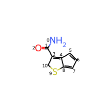 NC(=O)C1=C2C=CC=C2SC1